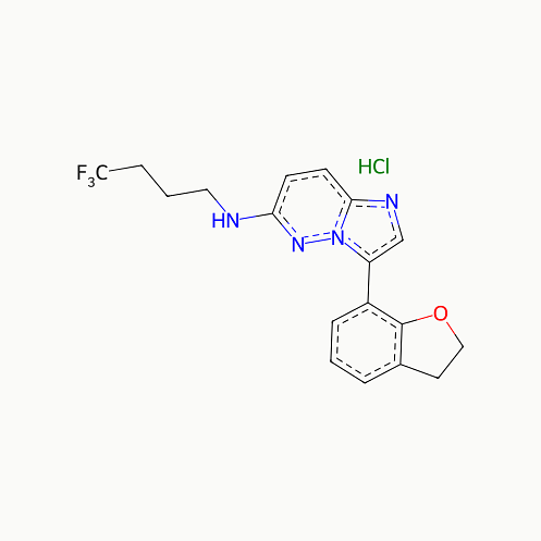 Cl.FC(F)(F)CCCNc1ccc2ncc(-c3cccc4c3OCC4)n2n1